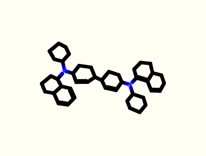 C1=CC2CCCC(N(C3C=CC(C4C=CC(N(C5=C6C=CCCC6CCC5)C5CCCCC5)CC4)CC3)C3CCCCC3)C2C=C1